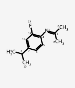 CC(C)=Nc1ccc(C(C)C)cc1F